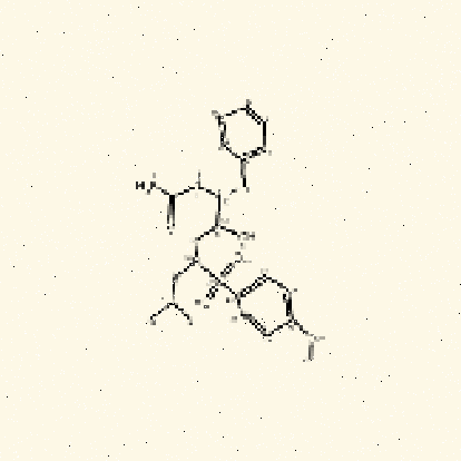 BC(=O)N[C@H](Cc1ccccc1)[C@@H](O)CN(CC(C)C)S(=O)(=O)c1ccc(OC)cc1